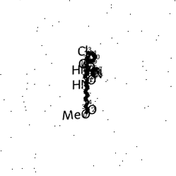 COC(=O)CCCCCCNC(=O)CC(NS(=O)(=O)c1cccc(Cl)c1)n1ccnc1